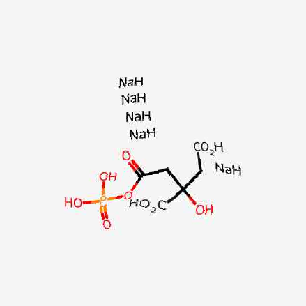 O=C(O)CC(O)(CC(=O)OP(=O)(O)O)C(=O)O.[NaH].[NaH].[NaH].[NaH].[NaH]